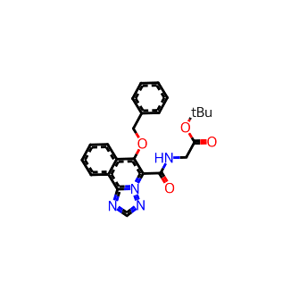 CC(C)(C)OC(=O)CNC(=O)c1c(OCc2ccccc2)c2ccccc2c2ncnn12